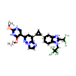 COc1ncc(-c2cc([C@H]3C[C@@H]3c3ccc4c(c3)nc(C(F)F)n4CC(F)(F)F)c3nccn3n2)c(OC)n1